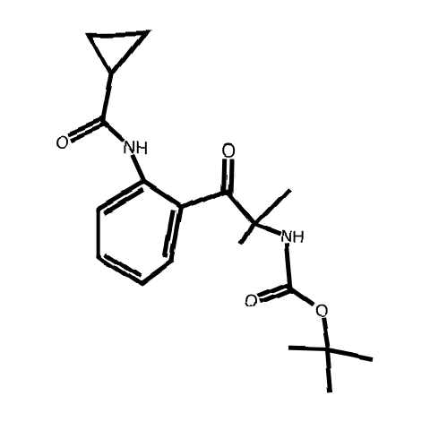 CC(C)(C)OC(=O)NC(C)(C)C(=O)c1ccccc1NC(=O)C1CC1